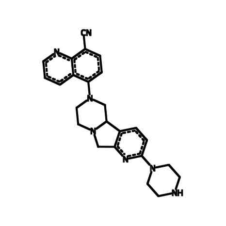 N#Cc1ccc(N2CCN3Cc4nc(N5CCNCC5)ccc4C3C2)c2cccnc12